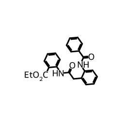 CCOC(=O)c1ccccc1NC(=O)Cc1ccccc1NC(=O)c1ccccc1